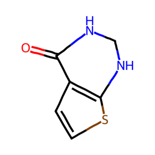 O=C1NCNc2sccc21